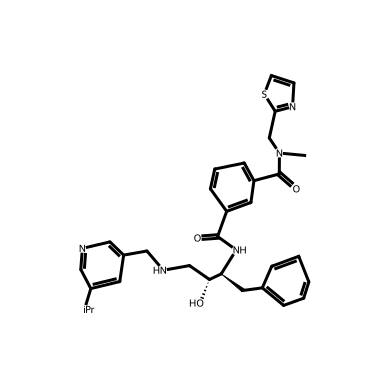 CC(C)c1cncc(CNC[C@@H](O)[C@H](Cc2ccccc2)NC(=O)c2cccc(C(=O)N(C)Cc3nccs3)c2)c1